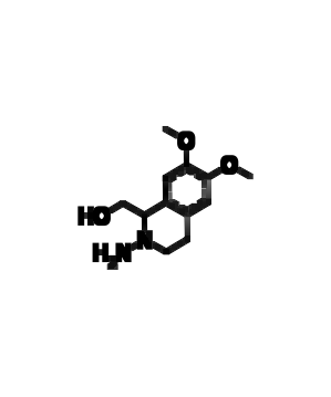 COc1cc2c(cc1OC)C(CO)N(N)CC2